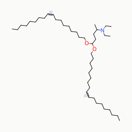 CCCCCCCC/C=C\CCCCCCCCOC(CCC(C)N(CC)CC)OCCCCCCCC/C=C\CCCCCCCC